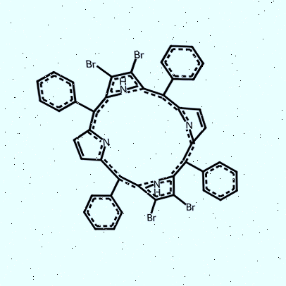 Brc1c(Br)c2[nH]c1c(-c1ccccc1)c1nc(c(-c3ccccc3)c3[nH]c(c(Br)c3Br)c(-c3ccccc3)c3nc(c2-c2ccccc2)C=C3)C=C1